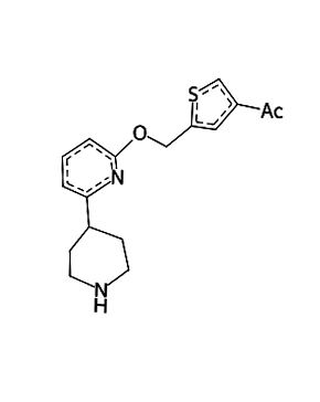 CC(=O)c1csc(COc2cccc(C3CCNCC3)n2)c1